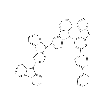 c1ccc(-c2ccc(-c3cc(-n4c5ccccc5c5cc(-n6c7ccccc7c7cc(-n8c9ccccc9c9ccccc98)ccc76)ccc54)c4c(c3)oc3ccccc34)cc2)cc1